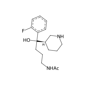 CC(=O)NCCCC(O)(c1ccccc1F)[C@@H]1CCCNC1